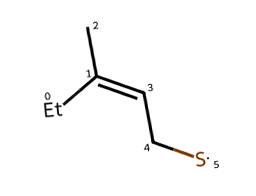 CC/C(C)=C\C[S]